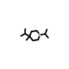 CC(C)N1CCC(C)(C(C)C)CC1